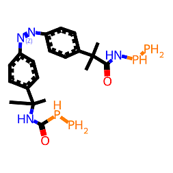 CC(C)(NC(=O)PP)c1ccc(/N=N\c2ccc(C(C)(C)C(=O)NPP)cc2)cc1